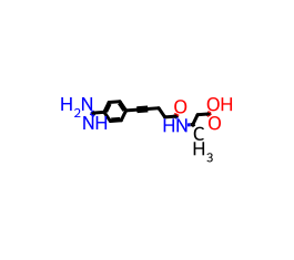 CC(CC(=O)O)NC(=O)CCC#Cc1ccc(C(=N)N)cc1